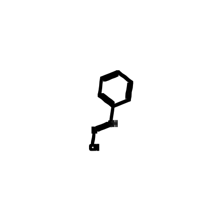 N#CN=[SH]c1ccccc1